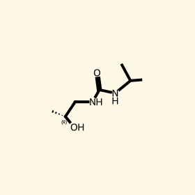 CC(C)NC(=O)NC[C@@H](C)O